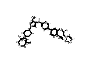 C[C@@H](Cn1cnnn1)Oc1cc(-c2cnc(Nc3cn(C4CCC(N5[C@@H]6CC[C@H]5COC6)CC4)nc3O)nc2)ccc1C#N